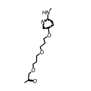 CNc1ccc(OCCCOCCCOCC(C)=O)cn1